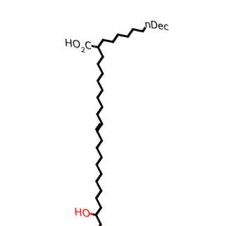 CCCCCCCCCCCCCCCCC(CCCCCCCCC=CCCCCCCCCCC(O)CO)C(=O)O